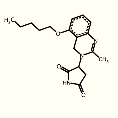 CCCCCOc1cccc2c1CN(C1CC(=O)NC1=O)C(C)=N2